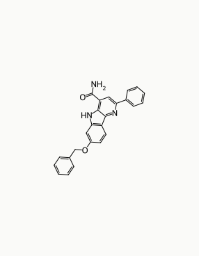 NC(=O)c1cc(-c2ccccc2)nc2c1[nH]c1cc(OCc3ccccc3)ccc12